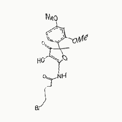 COc1ccc(C2(C)OC(NC(=O)CCCBr)=C(O)C2=O)c(OC)c1